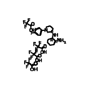 N[C@@H]1CCCC[C@H]1N[C@H]1CCCN(c2ccc(I)cc2)C1.O=C(O)C(F)(F)F.O=C(O)C(F)(F)F.O=C(O)C(F)(F)F.O=C(O)C(F)(F)F